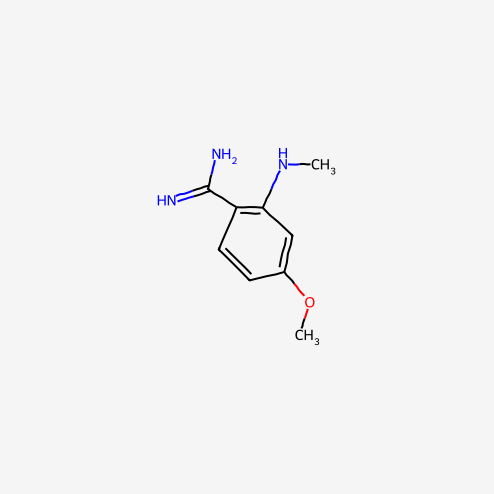 CNc1cc(OC)ccc1C(=N)N